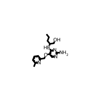 CCCC(Bc1nc(N)ncc1OCc1cccc(C)n1)CO